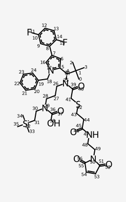 CC(C)(C)[C@H](c1cc(-c2cc(F)ccc2F)cn1Cc1ccccc1)N(CCCN(CC[Si](C)(C)C)C(=O)O)C(=O)CSCCC(=O)NCCN1C(=O)C=CC1=O